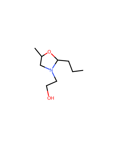 CCCC1OC(C)CN1CCO